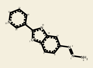 NN=Nc1ccc2oc(-c3cccnc3)nc2c1